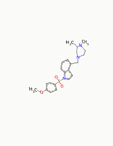 COc1ccc(S(=O)(=O)n2ccc3c(CN4CCN(C)C(C)C4)cccc32)cc1